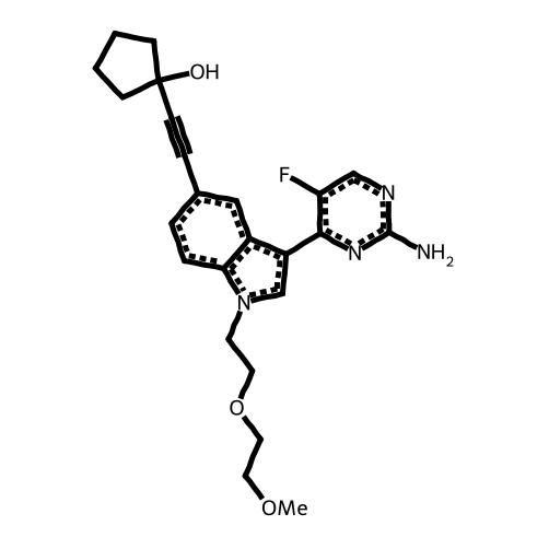 COCCOCCn1cc(-c2nc(N)ncc2F)c2cc(C#CC3(O)CCCC3)ccc21